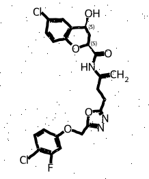 C=C(CCc1nnc(COc2ccc(Cl)c(F)c2)o1)NC(=O)[C@@H]1C[C@H](O)c2cc(Cl)ccc2O1